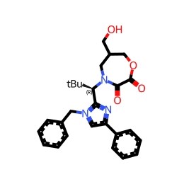 CC(C)(C)[C@H](c1nc(-c2ccccc2)cn1Cc1ccccc1)N1CC(CO)COC(=O)C1=O